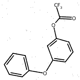 O=C(Oc1cccc(Oc2ccccc2)c1)C(F)(F)F